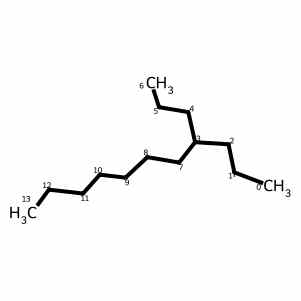 C[CH]CC(CCC)CCCCCCC